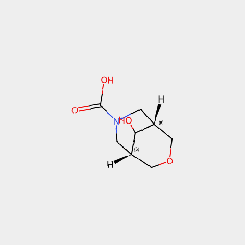 O=C(O)N1C[C@H]2COC[C@@H](C1)C2O